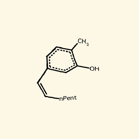 CCCCC/C=C\c1ccc(C)c(O)c1